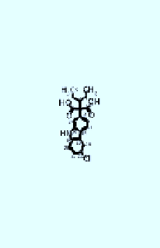 CCC(CC)C(C(=O)O)(C(=O)O)c1ccc2c(c1)[nH]c1ccc(Cl)cc12